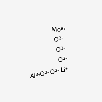 [Al+3].[Li+].[Mo+6].[O-2].[O-2].[O-2].[O-2].[O-2]